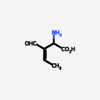 CC=C(C=O)C(N)C(=O)O